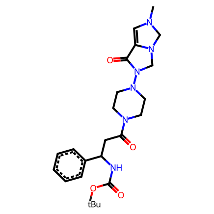 CN1C=C2C(=O)N(N3CCN(C(=O)CC(NC(=O)OC(C)(C)C)c4ccccc4)CC3)CN2C1